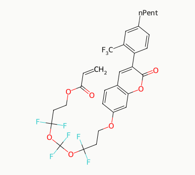 C=CC(=O)OCCC(F)(F)OC(F)(F)OC(F)(F)CCOc1ccc2cc(-c3ccc(CCCCC)cc3C(F)(F)F)c(=O)oc2c1